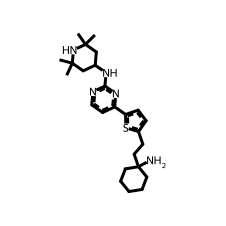 CC1(C)CC(Nc2nccc(-c3ccc(CCC4(N)CCCCC4)s3)n2)CC(C)(C)N1